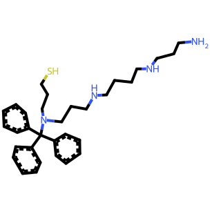 NCCCNCCCCNCCCN(CCCS)C(c1ccccc1)(c1ccccc1)c1ccccc1